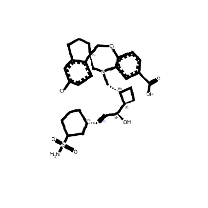 NS(=O)(=O)C1CCC[C@H](/C=C/[C@H](O)[C@@H]2CC[C@H]2CN2C[C@@]3(CCCc4cc(Cl)ccc43)COc3ccc(C(=O)O)cc32)C1